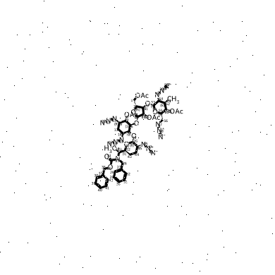 CC(=O)OC[C@H]1O[C@@H](O[C@@H]2[C@@H](OC(C)=O)[C@H](N=[N+]=[N-])C[C@H](N=[N+]=[N-])[C@H]2O[C@H]2O[C@H]([C@H](C)N(Cc3ccccc3)C(=O)OCc3ccccc3)CC[C@H]2N=[N+]=[N-])[C@H](OC(C)=O)[C@@H]1O[C@H]1O[C@@H](CN=[N+]=[N-])[C@@H](OC(C)=O)[C@H](C)[C@H]1N=[N+]=[N-]